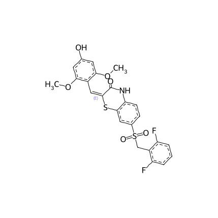 COc1cc(O)cc(OC)c1/C=C1/Sc2cc(S(=O)(=O)Cc3c(F)cccc3F)ccc2NC1=O